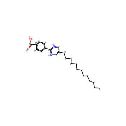 CCCCCCCCCCCCCc1cnc(-c2ccc(C(=O)O)cc2)nc1